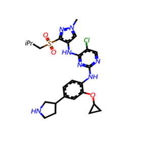 CC(C)CS(=O)(=O)c1nn(C)cc1Nc1nc(Nc2ccc(C3CCNC3)cc2OC2CC2)ncc1Cl